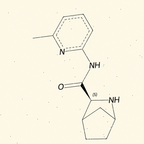 Cc1cccc(NC(=O)[C@H]2NC3CCC2C3)n1